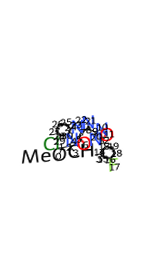 COCC(C)n1c(=O)c2c(-c3noc(-c4ccc(F)cc4)n3)ncn2c2cccc(Cl)c21